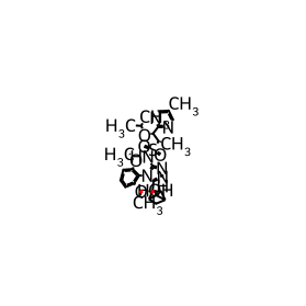 COc1cccc(OC)c1-n1c(NS(=O)(=O)[C@@H](C)[C@@H](OC(C)C)c2ncc(C)cn2)nnc1[C@@H]1CC2CC1[C@@H]2O